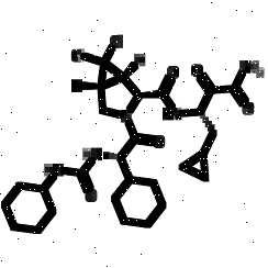 NC(=O)C(=O)[C@H](CC1CC1)NC(=O)[C@@H]1[C@@H]2[C@H](CN1C(=O)[C@@H](NC(=O)NC1CCCCC1)C1CCCCC1)C2(Cl)Cl